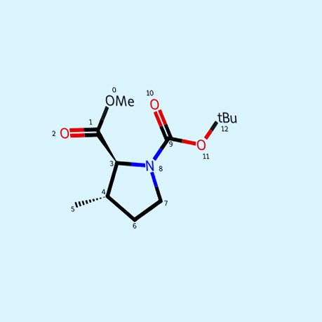 COC(=O)[C@@H]1[C@@H](C)CCN1C(=O)OC(C)(C)C